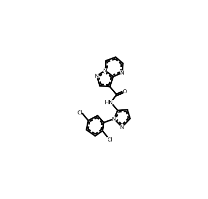 O=C(Nc1ccnn1-c1cc(Cl)ccc1Cl)c1cnn2cccnc12